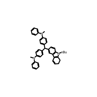 CCCCn1c2c(c3cc(C(c4ccc(N(C)c5ccccc5)cc4)c4ccc(N(C)c5ccccc5)cc4)ccc31)C=CCC2